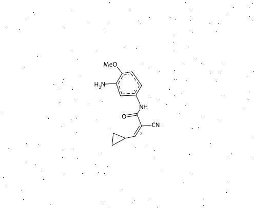 COc1ccc(NC(=O)/C(C#N)=C\C2CC2)cc1N